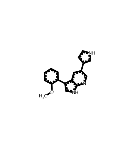 COc1ccccc1-c1c[nH]c2ncc(-c3cc[nH]c3)cc12